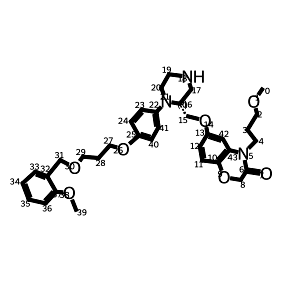 COCCCN1C(=O)COc2ccc(OC[C@H]3CNCCN3c3ccc(OCCCOCc4ccccc4OC)cc3)cc21